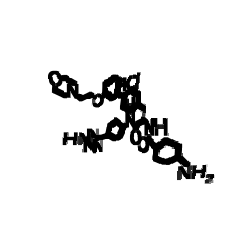 Cl.NCC1CCC(C(=O)N[C@@H](Cc2ccc(-c3cccc(OCCN4CCOCC4)c3)cc2)C(=O)Nc2ccc(-c3nn[nH]n3)cc2)CC1